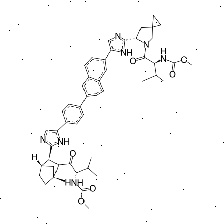 COC(=O)N[C@H](C(=O)C1[C@@H]2CC[C@@H](C2)[C@H]1c1ncc(-c2ccc(-c3ccc4cc(-c5cnc([C@@H]6CC7(CC7)CN6C(=O)[C@@H](NC(=O)OC)C(C)C)[nH]5)ccc4c3)cc2)[nH]1)C(C)C